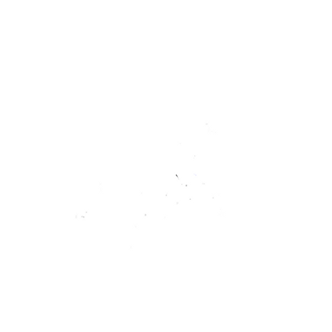 CCCCCOc1c(Cl)cc(CC(I)[C@](C)(NC(=O)OC(C)(C)C)C(O[PH2]=O)(OC(C)(C)C)OC(C)(C)C)cc1Cl